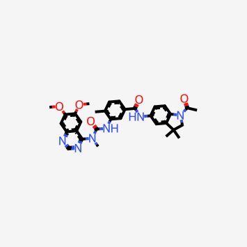 COc1cc2ncnc(N(C)C(=O)Nc3cc(C(=O)Nc4ccc5c(c4)C(C)(C)CN5C(C)=O)ccc3C)c2cc1OC